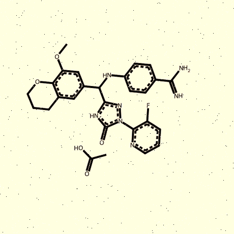 CC(=O)O.COc1cc(C(Nc2ccc(C(=N)N)cc2)c2nn(-c3ncccc3F)c(=O)[nH]2)cc2c1OCCC2